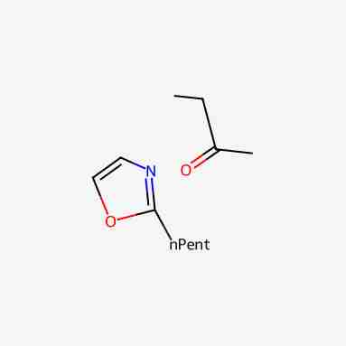 CCC(C)=O.CCCCCc1ncco1